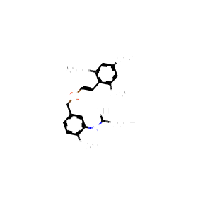 COc1cc(OC)c(C=CS(=O)(=O)Cc2ccc(OC)c(NC(C)C(=O)O)c2)c(OC)c1